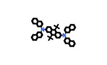 CC(C)(C)c1c2ccc(N(c3ccc4ccccc4c3)c3ccc4ccccc4c3)cc2c(C(C)(C)C)c2ccc(N(c3ccc4ccccc4c3)c3ccc4ccccc4c3)cc12